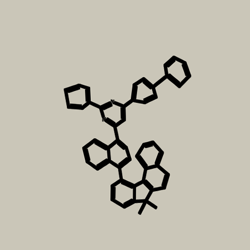 CC1(C)c2cccc(-c3ccc(-c4cc(-c5ccc(-c6ccccc6)cc5)nc(-c5ccccc5)n4)c4ccccc34)c2-c2c1ccc1ccccc21